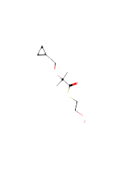 CC(C)(OCC1CC1)C(=O)SCCOI